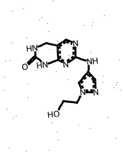 O=C1NCc2cnc(Nc3cnn(CCO)c3)nc2N1